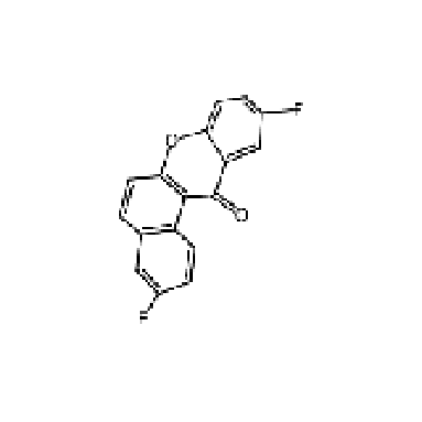 O=c1c2cc(F)ccc2oc2ccc3cc(F)ccc3c12